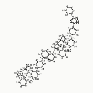 c1ccc(-c2nnc(-c3ccc(-c4ccc5c(c4)C4(c6ccccc6O5)c5ccccc5-c5ccc(-c6ccnc7c(-c8ccc(-c9ccc%10c(c9)C9(c%11ccccc%11O%10)c%10ccccc%10-c%10ccccc%109)cc8)cccc67)cc54)cc3)s2)cc1